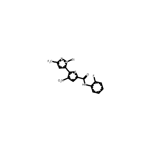 CCn1nc(C(F)(F)F)cc1-c1sc(C(=O)Nc2ccccc2F)cc1[N+](=O)[O-]